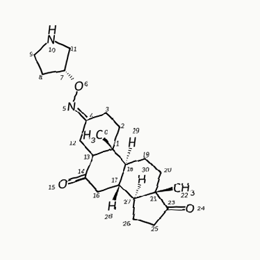 C[C@]12CCC(=NO[C@@H]3CCNC3)CC1C(=O)C[C@@H]1[C@@H]2CC[C@]2(C)C(=O)CC[C@@H]12